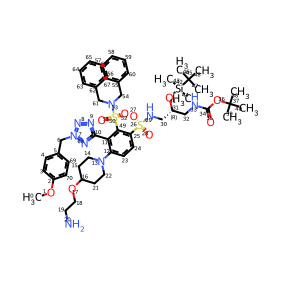 COc1ccc(Cn2nnc(-c3c(N4CCC(OCCN)CC4)ccc(S(=O)(=O)NC[C@@H](CNC(=O)OC(C)(C)C)O[Si](C)(C)C(C)(C)C)c3S(=O)(=O)N(Cc3ccccc3)Cc3ccccc3)n2)cc1